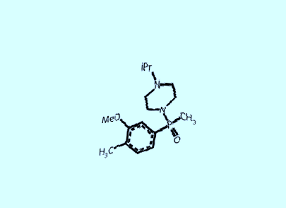 COc1cc(P(C)(=O)N2CCN(C(C)C)CC2)ccc1C